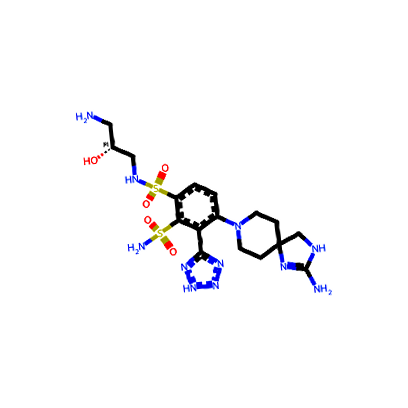 NC[C@@H](O)CNS(=O)(=O)c1ccc(N2CCC3(CC2)CNC(N)=N3)c(-c2nn[nH]n2)c1S(N)(=O)=O